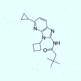 CC(C)(C)CC(=O)Nc1nc2ccc(C3CC3)nc2n1C1CCC1